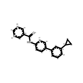 O=C(Nc1ccc(-c2cccc(C3CC3)c2)cn1)c1cncnc1